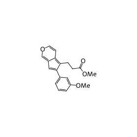 COC(=O)CCc1c2ccocc-2cc1-c1cccc(OC)c1